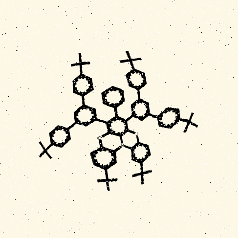 CC(C)(C)c1ccc(-c2cc(-c3ccc(C(C)(C)C)cc3)cc(-c3c4c5c(c(-c6cc(-c7ccc(C(C)(C)C)cc7)cc(-c7ccc(C(C)(C)C)cc7)c6)c3-c3ccccc3)Oc3ccc(C(C)(C)C)cc3B5c3cc(C(C)(C)C)ccc3O4)c2)cc1